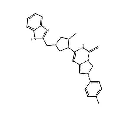 Cc1ccc(N2C=C3N=C(C4CN(Cc5nc6ccccc6[nH]5)CC4C)NC(=O)N3C2)cc1